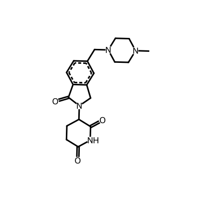 CN1CCN(Cc2ccc3c(c2)CN(C2CCC(=O)NC2=O)C3=O)CC1